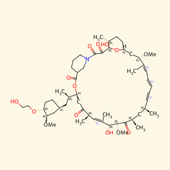 CO[C@H]1C[C@@H]2CC[C@@H](C)[C@@](O)(O2)C(=O)C(=O)N2CCCC(C2)C(=O)O[C@H]([C@H](C)C[C@@H]2CC[C@@H](OCCO)[C@H](OC)C2)CC(=O)[C@H](C)/C=C(\C)[C@@H](O)[C@@H](OC)C(=O)[C@H](C)C[C@H](C)/C=C/C=C/C=C/1C